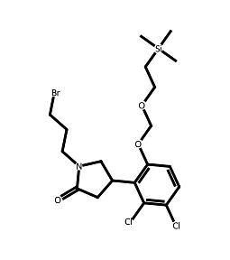 C[Si](C)(C)CCOCOc1ccc(Cl)c(Cl)c1C1CC(=O)N(CCCBr)C1